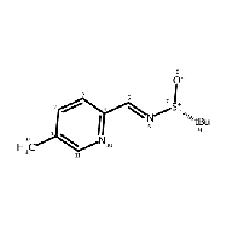 Cc1ccc(C=N[S@+]([O-])C(C)(C)C)nc1